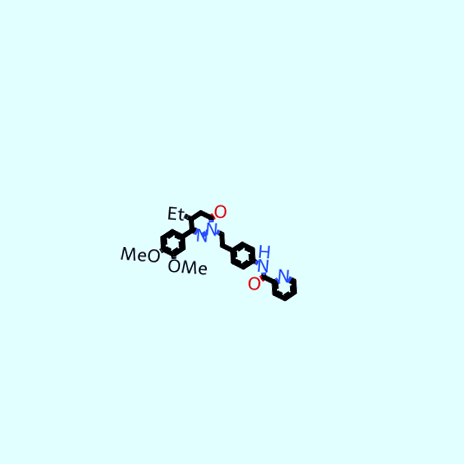 CCC1CC(=O)N(CCc2ccc(NC(=O)c3ccccn3)cc2)N=C1c1ccc(OC)c(OC)c1